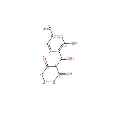 COc1ccc(C(=O)C2C(=O)CCCC2=O)c(Cl)c1